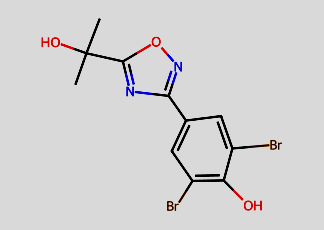 CC(C)(O)c1nc(-c2cc(Br)c(O)c(Br)c2)no1